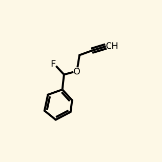 C#CCOC(F)c1ccccc1